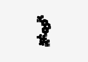 CC(=O)Nc1ccc2c(n1)-c1ccc(OCC(C)(CC(C)C)N(C(=O)O)C(C)(C)C)cc1OC2